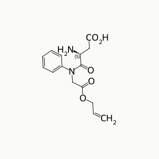 C=CCOC(=O)CN(C(=O)[C@@H](N)CC(=O)O)c1ccccc1